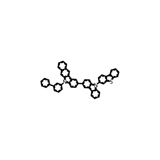 c1ccc(-c2cccc(-n3c4ccc(-c5ccc6c(c5)c5ccccc5n6-c5ccc6c(c5)sc5ccccc56)cc4c4cc5ccccc5cc43)c2)cc1